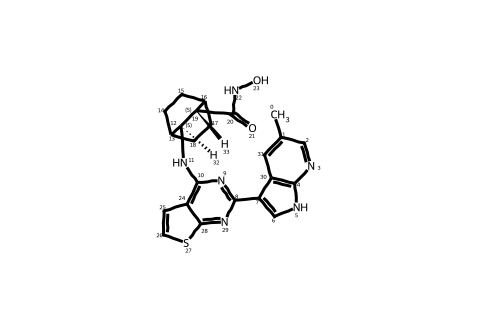 Cc1cnc2[nH]cc(-c3nc(N[C@H]4C5CCC(CC5)[C@@H]4C(=O)NO)c4ccsc4n3)c2c1